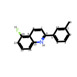 Cc1cccc(-c2ccc3c(F)cccc3n2)c1